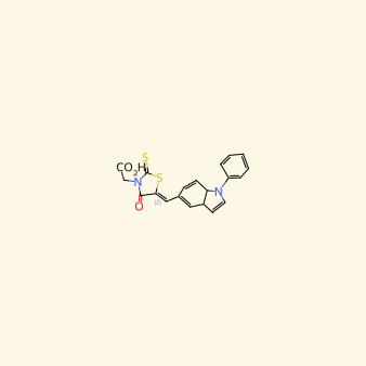 O=C(O)CN1C(=O)/C(=C/C2=CC3C=CN(c4ccccc4)C3C=C2)SC1=S